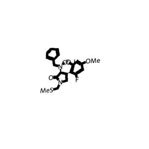 COc1cc(F)c([C@@H]2CN(CSC)C(=O)[C@H]2N(Cc2ccccc2)C(=O)O)c(F)c1